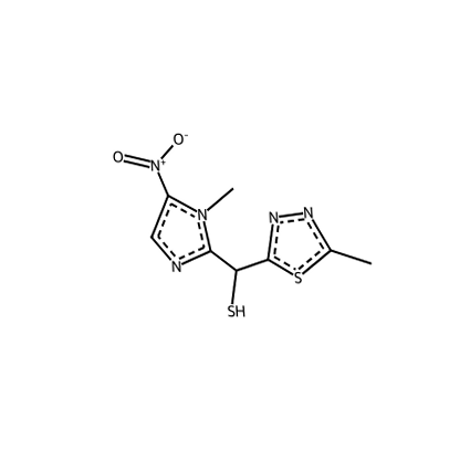 Cc1nnc(C(S)c2ncc([N+](=O)[O-])n2C)s1